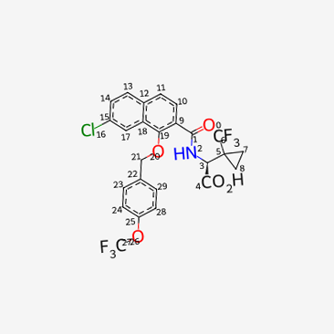 O=C(N[C@H](C(=O)O)C1(C(F)(F)F)CC1)c1ccc2ccc(Cl)cc2c1OCc1ccc(OC(F)(F)F)cc1